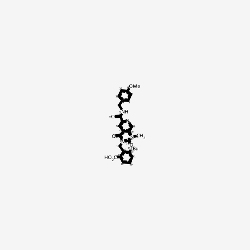 COc1ccc(CNC(=O)c2cc3c(=O)n(Cc4c(C(=O)O)cccc4C(C)(C)C)c(=O)n(C)c3cn2)cc1